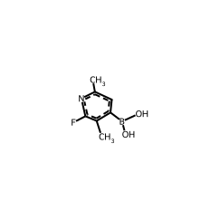 Cc1cc(B(O)O)c(C)c(F)n1